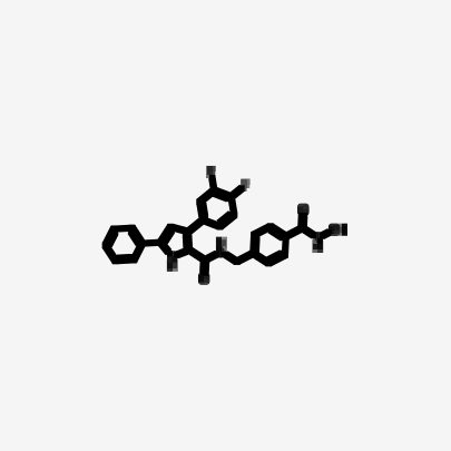 O=C(NO)c1ccc(CNC(=O)c2[nH]c(-c3ccccc3)cc2-c2ccc(F)c(F)c2)cc1